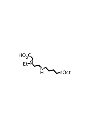 CCCCCCCCCCCCNCCN(CC)CC(=O)O